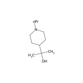 CCCN1CCC(C(C)(C)O)CC1